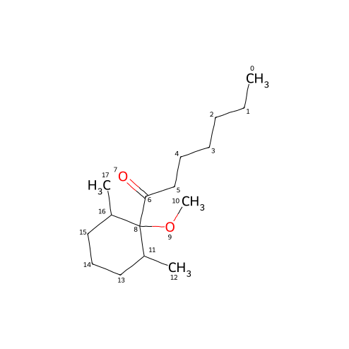 CCCCCCC(=O)C1(OC)C(C)CCCC1C